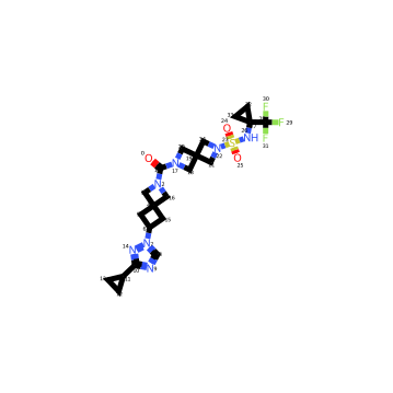 O=C(N1CC2(CC(n3cnc(C4CC4)n3)C2)C1)N1CC2(C1)CN(S(=O)(=O)NC1(C(F)(F)F)CC1)C2